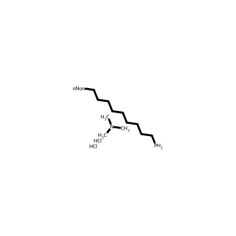 CCCCCCCCCCCCCCCCCCP.CN(C)C.Cl.Cl